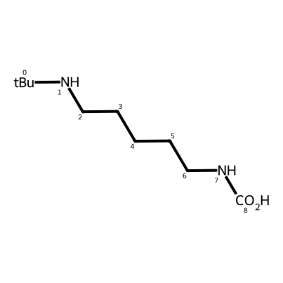 CC(C)(C)NCCCCCNC(=O)O